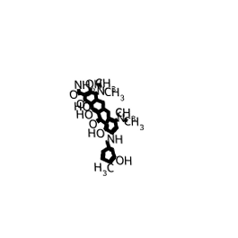 Cc1ccc(CNc2cc(N(C)C)c3c(c2O)C(=O)C2=C(O)C4(O)C(=O)C(C(N)=O)=C(O)C(N(C)C)C4CC2C3)cc1O